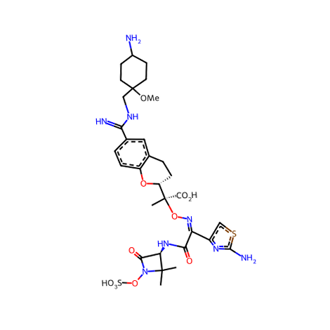 COC1(CNC(=N)c2ccc3c(c2)CC[C@H]([C@](C)(O/N=C(\C(=O)N[C@@H]2C(=O)N(OS(=O)(=O)O)C2(C)C)c2csc(N)n2)C(=O)O)O3)CCC(N)CC1